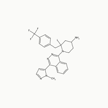 Cn1nccc1-c1nnc(N2CCC(N)CC2(I)Cc2ccc(C(F)(F)F)cc2)c2ccccc12